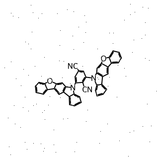 N#Cc1cc(-n2c3ccccc3c3cc4c(cc32)oc2ccccc24)c(C#N)c(-n2c3ccccc3c3cc4c(cc32)oc2ccccc24)c1